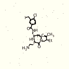 C=C(C)C(CC)CN1CC[C@@H](CNC(=O)c2ccc(Cl)c(CI)c2)N[C@@H](CCN)C1=O